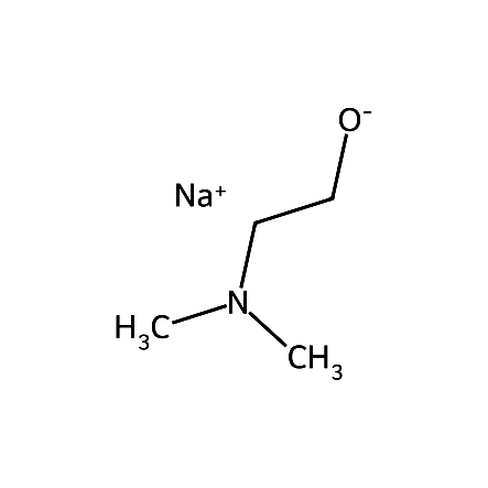 CN(C)CC[O-].[Na+]